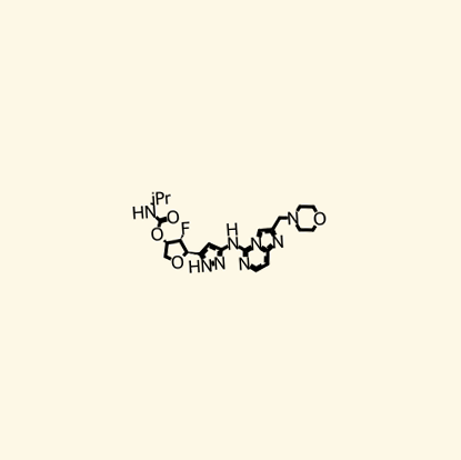 CC(C)NC(=O)O[C@@H]1CO[C@H](c2cc(Nc3nccc4nc(CN5CCOCC5)cn34)n[nH]2)[C@H]1F